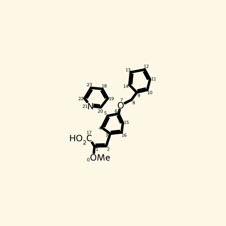 COC(=Cc1ccc(OCc2ccccc2)cc1)C(=O)O.c1ccncc1